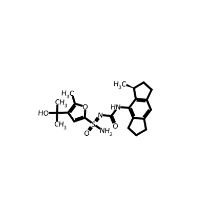 Cc1oc(S(N)(=O)=NC(=O)Nc2c3c(cc4c2[C@@H](C)CC4)CCC3)cc1C(C)(C)O